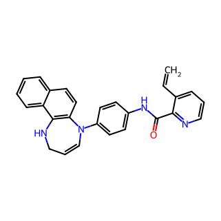 C=Cc1cccnc1C(=O)Nc1ccc(N2C=CCNc3c2ccc2ccccc32)cc1